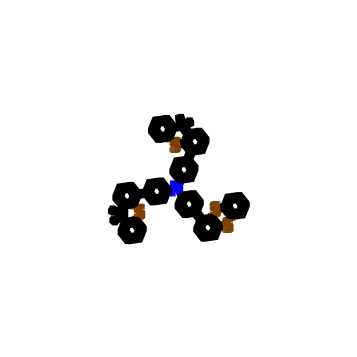 CC1(C)c2ccccc2Sc2c(-c3ccc(N(c4ccc(-c5cccc6c5Sc5ccccc5S6)cc4)c4ccc(-c5cccc6c5Sc5ccccc5[Si]6(C)C)cc4)cc3)cccc21